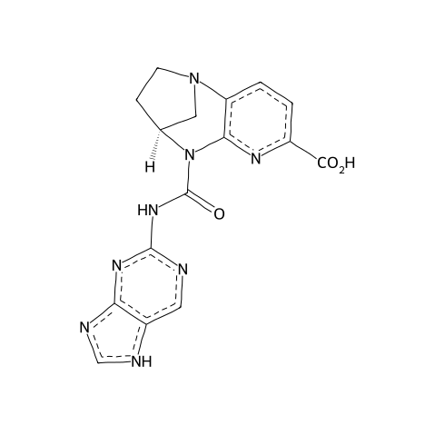 O=C(O)c1ccc2c(n1)N(C(=O)Nc1ncc3[nH]cnc3n1)[C@H]1CCN2C1